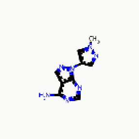 Cn1cc(-n2ncc3c(N)ncnc32)cn1